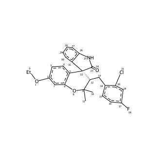 CCOc1ccc2c(c1)OC(C)(C)C(Cc1ccc(F)cc1Cl)[C@]21C(=O)Nc2ccccc21